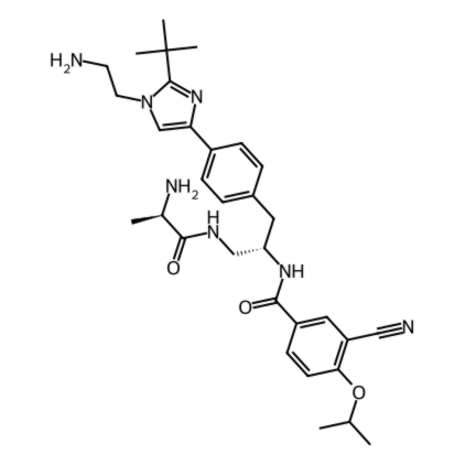 CC(C)Oc1ccc(C(=O)N[C@H](CNC(=O)[C@@H](C)N)Cc2ccc(-c3cn(CCN)c(C(C)(C)C)n3)cc2)cc1C#N